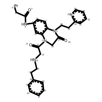 CC(C)CC(=O)Nc1ccc2c(c1)N(C(=O)CNCCc1ccccc1)CC(=O)N2CCc1ccccn1